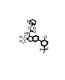 CC1(C)Cc2cc(-c3cc(C(F)(F)F)ccc3Cl)ccc2C1NC(=O)O[C@H]1CN2CCC1CC2